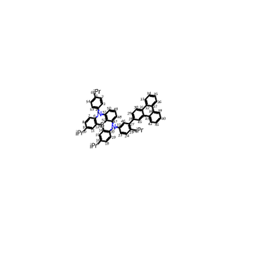 CC(C)c1ccc(N2c3ccc(C(C)C)cc3B3c4cc(C(C)C)ccc4N(c4ccc(C(C)C)c(-c5ccc6c7ccccc7c7ccccc7c6c5)c4)c4cccc2c43)cc1